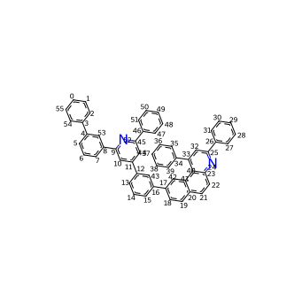 c1ccc(-c2cccc(-c3cc(-c4cccc(-c5ccc6ccc7nc(-c8ccccc8)cc(-c8ccccc8)c7c6c5)c4)cc(-c4ccccc4)n3)c2)cc1